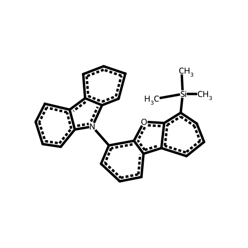 C[Si](C)(C)c1cccc2c1oc1c(-n3c4ccccc4c4ccccc43)cccc12